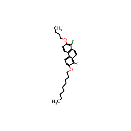 CCCCCCCCCOc1ccc2c(ccc3c(F)c(OCCCC)ccc32)c1F